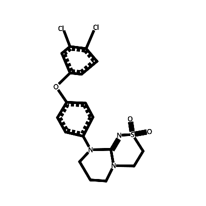 O=S1(=O)CCN2CCCN(c3ccc(Oc4ccc(Cl)c(Cl)c4)cc3)C2=N1